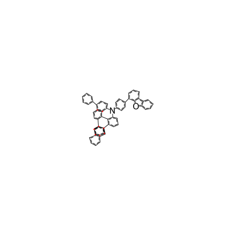 c1ccc(-c2ccc(N(c3ccc(-c4cccc5c4oc4ccccc45)cc3)c3cccc(-c4ccccc4)c3-c3ccccc3-c3ccc4ccccc4c3)cc2)cc1